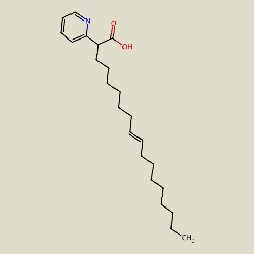 CCCCCCCCC=CCCCCCCC(C(=O)O)c1ccccn1